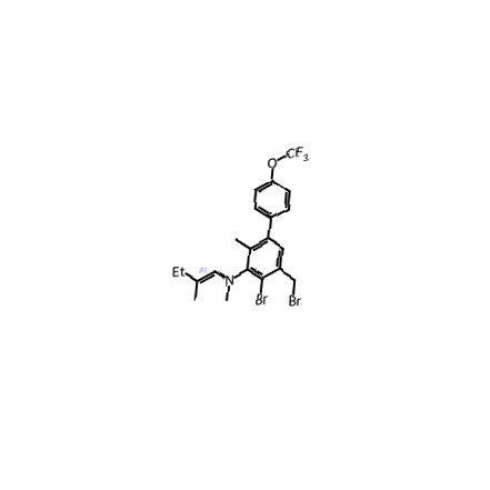 CC/C(C)=C/N(C)c1c(C)c(-c2ccc(OC(F)(F)F)cc2)cc(CBr)c1Br